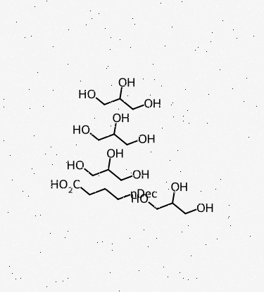 CCCCCCCCCCCCCC(=O)O.OCC(O)CO.OCC(O)CO.OCC(O)CO.OCC(O)CO